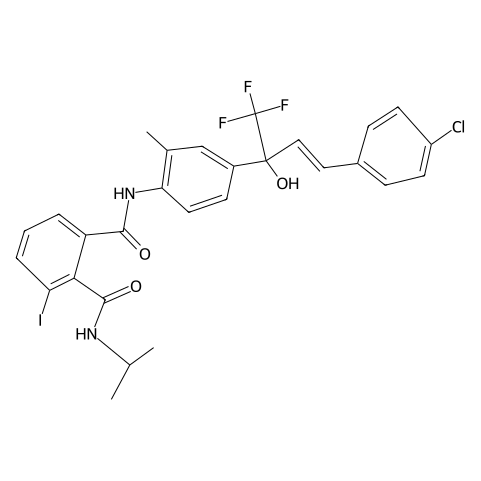 Cc1cc(C(O)(C=Cc2ccc(Cl)cc2)C(F)(F)F)ccc1NC(=O)c1cccc(I)c1C(=O)NC(C)C